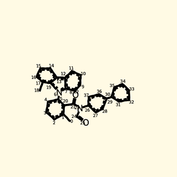 Cc1cccc(-n2c3ccccc3c3cccc(C)c32)c1C(=O)N(C=O)c1ccc(-c2ccccc2)cc1